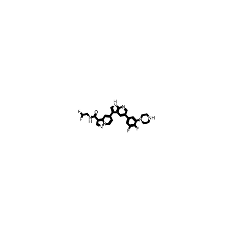 O=C(NCC(F)F)c1cnn2ccc(-c3c[nH]c4ncc(-c5cc(F)c(F)c(N6CCNCC6)c5)cc34)cc12